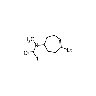 CCC1=CCCC(N(C)C(=O)I)CC1